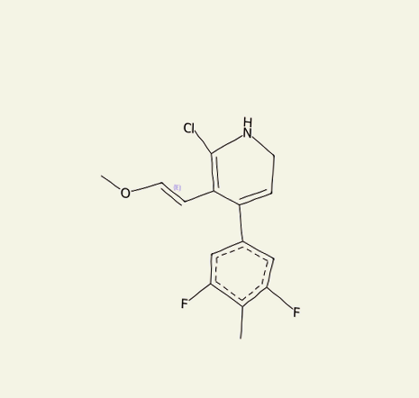 CO/C=C/C1=C(Cl)NCC=C1c1cc(F)c(C)c(F)c1